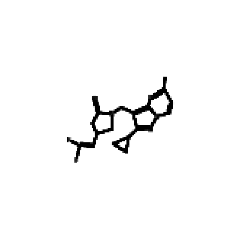 Cc1ccn2nc(C3CC3)c(CN3CC(C=C(F)F)CC3=O)c2n1